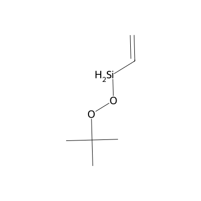 C=C[SiH2]OOC(C)(C)C